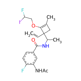 C=CC1(C(C)NC(=O)c2ccc(F)c(NC(C)=O)c2)CC(C)=C1OCC(F)I